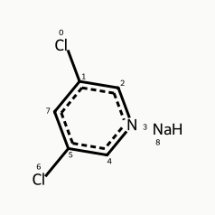 Clc1cncc(Cl)c1.[NaH]